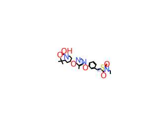 CCN1C(=O)S/C(=C\c2cccc(Oc3ncnc(OC4CCN(C(=O)O)C(C(C)(C)C)C4)c3C)c2)C1=O